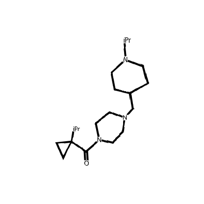 CC(C)N1CCC(CN2CCN(C(=O)C3(C(C)C)CC3)CC2)CC1